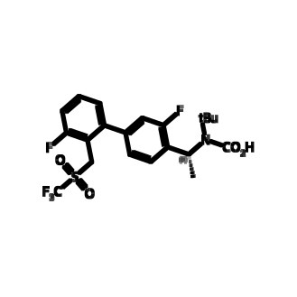 C[C@H](c1ccc(-c2cccc(F)c2CS(=O)(=O)C(F)(F)F)cc1F)N(C(=O)O)C(C)(C)C